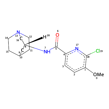 COc1ccc(C(=O)N[C@@H]2CC3CCN(CC3)C2)nc1Cl